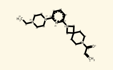 C=CC(=O)N1CCC2(CC1)CN(c1cccc(N3CCN(CC)CC3)n1)C2